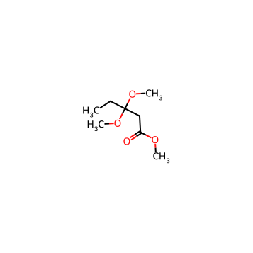 CCC(CC(=O)OC)(OC)OC